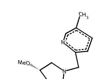 CO[C@H]1CCN(Cc2ccc(C)cn2)C1